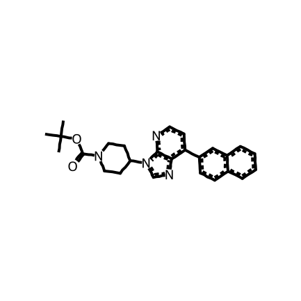 CC(C)(C)OC(=O)N1CCC(n2cnc3c(-c4ccc5ccccc5c4)ccnc32)CC1